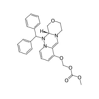 COC(=O)OCOC1=CC=CN2C1=CN1CCOC[C@H]1N2C(c1ccccc1)c1ccccc1